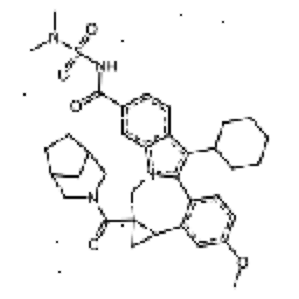 COc1ccc2c(c1)C1CC1(C(=O)N1CC3CCC(C3)C1)Cn1c-2c(C2CCCCC2)c2ccc(C(=O)NS(=O)(=O)N(C)C)cc21